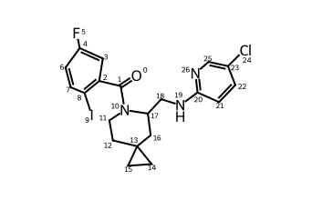 O=C(c1cc(F)ccc1I)N1CCC2(CC2)CC1CNc1ccc(Cl)cn1